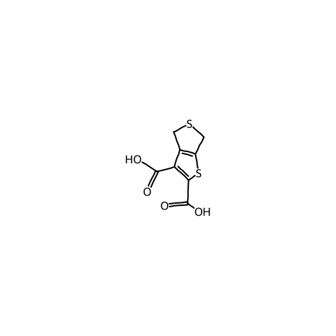 O=C(O)c1sc2c(c1C(=O)O)CSC2